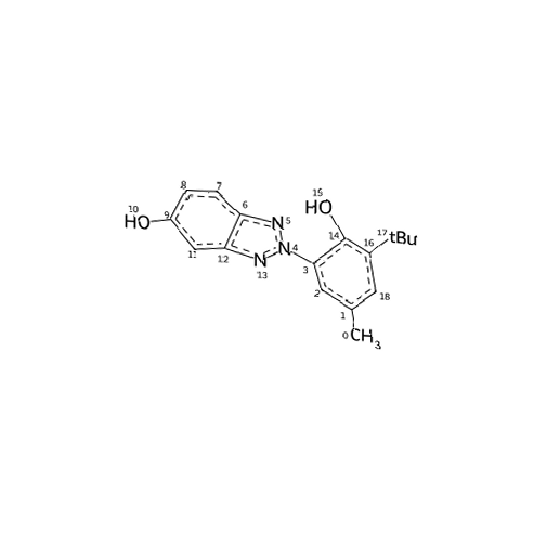 Cc1cc(-n2nc3ccc(O)cc3n2)c(O)c(C(C)(C)C)c1